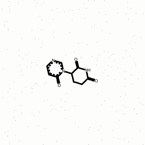 O=C1CCC(n2cnccc2=O)C(=O)N1